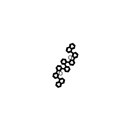 c1ccc(-c2cccc3c2oc2c(-c4cccc5ccccc45)cccc23)c(-c2ccccc2-c2cccc3c2oc2c(-c4cccc5ccccc45)cccc23)c1